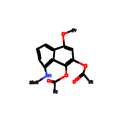 CCC(=O)Oc1cc(OC(C)C)c2cccc(NSC)c2c1OC(=O)CC